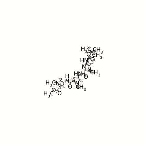 COC(=O)c1cc(NC(=O)c2cc(NC(=O)c3nc(NC(=O)OC(C)(C)C)cn3C)cn2C)cn1C